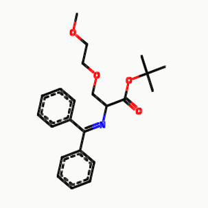 COCCOCC(N=C(c1ccccc1)c1ccccc1)C(=O)OC(C)(C)C